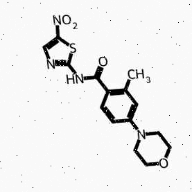 Cc1cc(N2CCOCC2)ccc1C(=O)Nc1ncc([N+](=O)[O-])s1